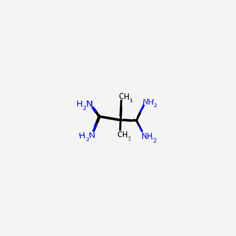 CC(C)(C(N)N)C(N)N